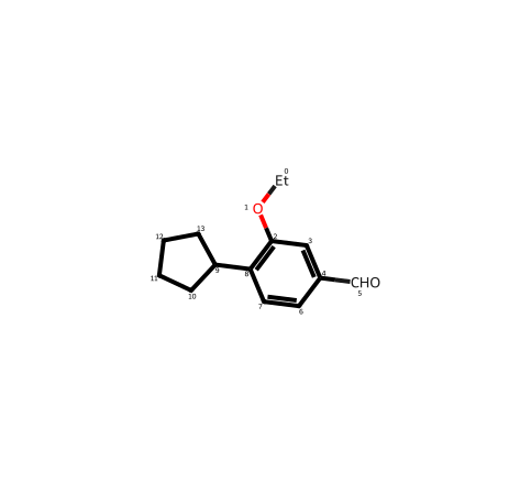 CCOc1cc(C=O)ccc1C1CCCC1